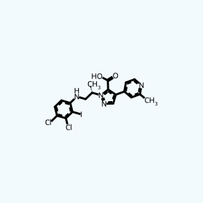 Cc1cc(-c2cnn([C@@H](C)CNc3ccc(Cl)c(Cl)c3I)c2C(=O)O)ccn1